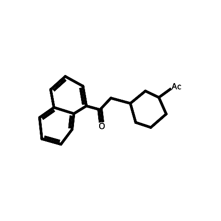 CC(=O)C1CCCC(CC(=O)c2cccc3ccccc23)C1